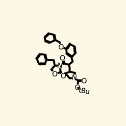 CC(C)(C)OC(=O)N1CCC(C(Cc2cccc(OCc3ccccc3)c2)C(=O)N2C(=O)OCC2Cc2ccccc2)C1